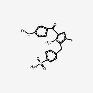 CCOc1ccc(C(=O)c2cc(F)c(Cc3ccc(S(N)(=O)=O)cc3)n2C)cc1